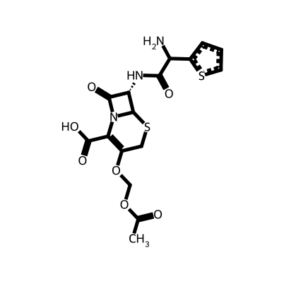 CC(=O)OCOC1=C(C(=O)O)N2C(=O)[C@H](NC(=O)C(N)c3cccs3)C2SC1